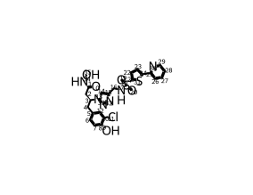 O=C(C[C@H](Cc1ccc(O)c(Cl)c1)n1cc(CNS(=O)(=O)c2ccc(-c3ccccn3)s2)nn1)NO